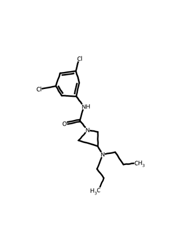 CCCN(CCC)C1CN(C(=O)Nc2cc(Cl)cc(Cl)c2)C1